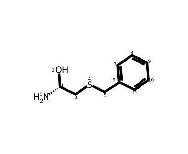 N[C@H](O)CSCc1ccccc1